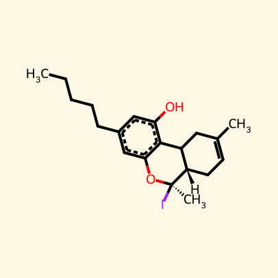 CCCCCc1cc(O)c2c(c1)O[C@](C)(I)[C@H]1CC=C(C)CC21